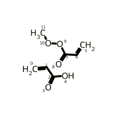 C=CC(=O)O.C=CC(=O)OOC